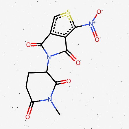 CN1C(=O)CCC(N2C(=O)c3csc([N+](=O)[O-])c3C2=O)C1=O